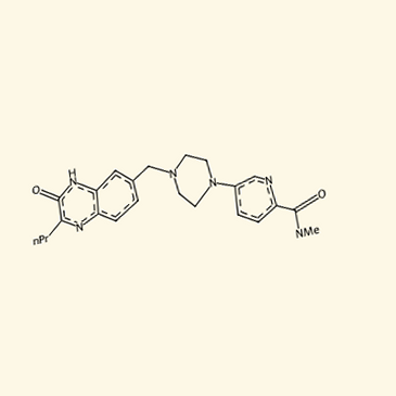 CCCc1nc2ccc(CN3CCN(c4ccc(C(=O)NC)nc4)CC3)cc2[nH]c1=O